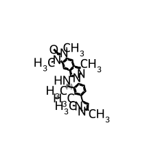 Cc1cc(-c2cccc([C@@H](C)Nc3nnc(C)c4cc5c(cc34)n(C)c(=O)n5C)c2C)n(C)n1